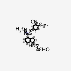 C=N/N=C(\SCc1ccc(OC(C)C)c(C#N)c1)c1cccc2c1CCC2NSCC=O